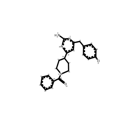 Nc1nc(Cc2ccc(Cl)cc2)cc(C2CCN(C(=O)c3ccccc3)CC2)n1